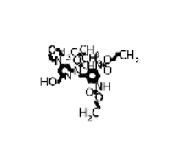 C=CCOC(=O)Nc1cc(CN(C(=O)OC(C)(C)C)c2cc(N3CCOCC3)cc(CO)n2)cc(NC(=O)OCC=C)c1